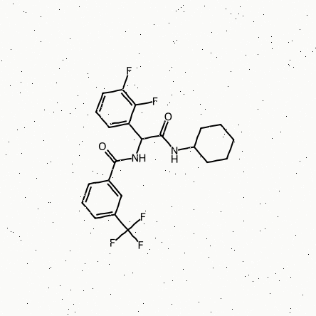 O=C(NC(C(=O)NC1CCCCC1)c1cccc(F)c1F)c1cccc(C(F)(F)F)c1